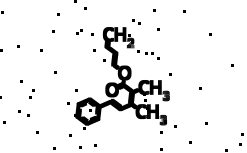 C=CC=COC(=O)C(C)=C(C)C=Cc1ccccc1